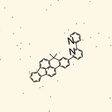 CC1(C)c2cc(-c3cccc(-c4ccccn4)n3)ccc2-c2ccc3c4c(ccc1c24)-c1ccccc1-3